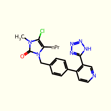 CCCc1c(Cl)n(C)c(=O)n1Cc1ccc(-c2ccncc2-c2nnn[nH]2)cc1